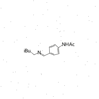 CCC(C)C/N=C/c1ccc(NC(C)=O)cc1